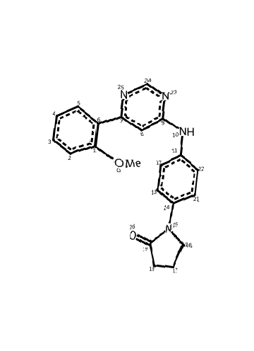 COc1ccccc1-c1cc(Nc2ccc(N3CCCC3=O)cc2)ncn1